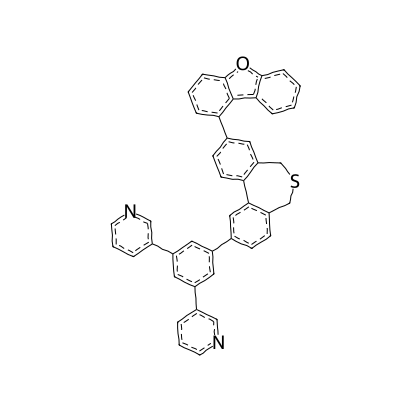 c1cncc(-c2cc(-c3cccnc3)cc(-c3ccc4c(c3)-c3ccc(-c5cccc6oc7ccccc7c56)cc3CSC4)c2)c1